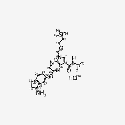 CC(C)NC(=O)c1cn(COCC[Si](C)(C)C)c2ncc(Oc3ccc4c(c3)[C@H](N)CC4)nc12.Cl